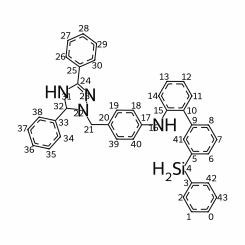 c1ccc([SiH2]c2cccc(-c3ccccc3Nc3ccc(CN4N=C(c5ccccc5)NC4c4ccccc4)cc3)c2)cc1